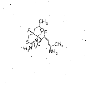 C=C(/C(F)=C\C=C(/C)N)[C@]12CO[C@@H](C)C[C@@]1(F)CSC(N)=N2